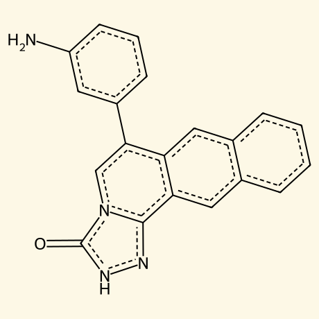 Nc1cccc(-c2cn3c(=O)[nH]nc3c3cc4ccccc4cc23)c1